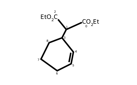 CCOC(=O)C(C(=O)OCC)C1C=CCCC1